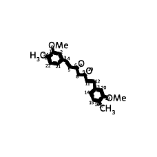 COc1cc(C=CC(=O)CC(=O)C=Cc2ccc(C)c(OC)c2)ccc1C